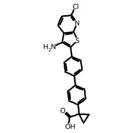 Nc1c(-c2ccc(-c3ccc(C4(C(=O)O)CC4)cc3)cc2)sc2nc(Cl)ccc12